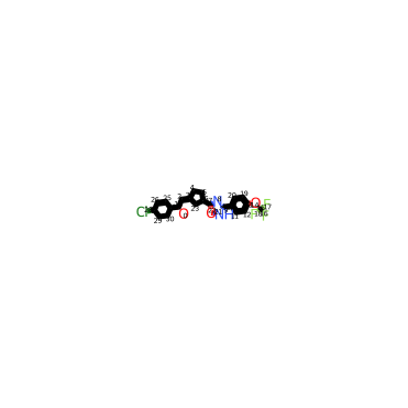 O=C(/C=C1/CCC(C2=NC(c3ccc(OC(F)(F)F)cc3)NO2)C1)C1C=CC(Cl)CC1